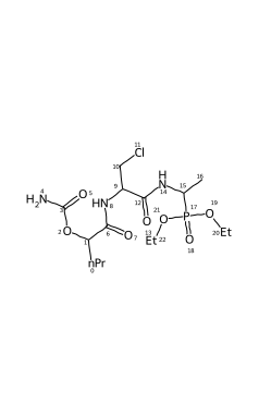 CCCC(OC(N)=O)C(=O)NC(CCl)C(=O)NC(C)P(=O)(OCC)OCC